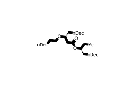 CCCCCCCCCCCCO[C@H](CCCCCCCCCCC)CC(=O)O[C@@H](CCCCCCCCCCC)CC(C)=O